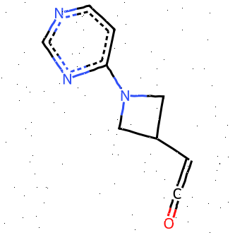 O=C=CC1CN(c2ccncn2)C1